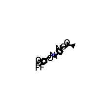 COc1cc(CO/N=C(\C)c2ccc(OCC(=O)C3CC3)nc2)ccc1C(F)(F)F